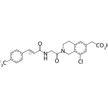 O=C(O)Cc1cc(Cl)c2c(c1)CCN(C(=O)CNC(=O)/C=C/c1ccc(C(F)(F)F)cc1)C2